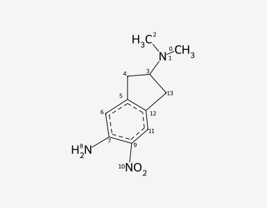 CN(C)C1Cc2cc(N)c([N+](=O)[O-])cc2C1